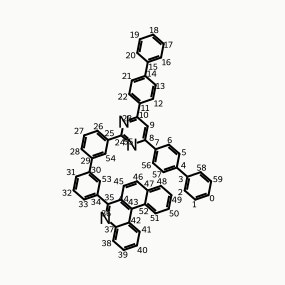 c1ccc(-c2ccc(-c3cc(-c4ccc(-c5ccccc5)cc4)nc(-c4cccc(-c5cccc(-c6nc7ccccc7c7c6ccc6ccccc67)c5)c4)n3)cc2)cc1